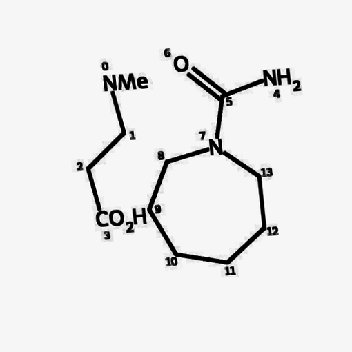 CNCCC(=O)O.NC(=O)N1CCCCCC1